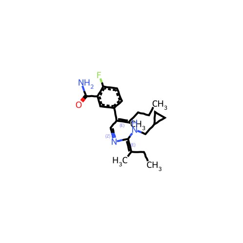 CCC/C(C)=C(/C=N\C(NCC1CC1)=C(/C)CC)c1ccc(F)c(C(N)=O)c1